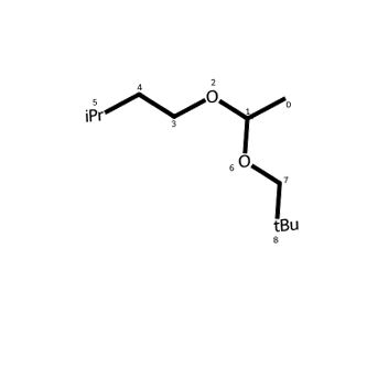 C[C](OCCC(C)C)OCC(C)(C)C